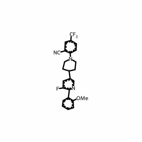 COc1ccccc1-c1ncc([C]2CCN(c3ccc(C(F)(F)F)cc3C#N)CC2)cc1F